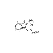 NC(=O)c1sc2ccccc2c1C[CH]CO